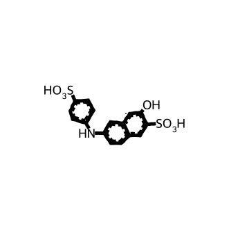 O=S(=O)(O)c1ccc(Nc2ccc3cc(S(=O)(=O)O)c(O)[c]c3c2)cc1